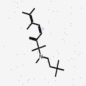 C=C(/C=C\C(C)=C(C)C)C(C)(C)N(C)CCC(C)(C)C